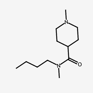 CCCCN(C)C(=O)C1CCN(C)CC1